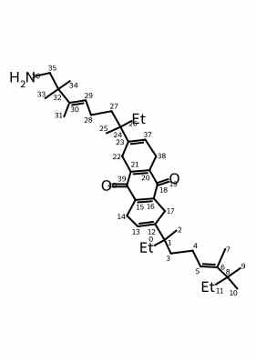 CCC(C)(CC/C=C(\C)C(C)(C)CC)C1=CCC2=C(C1)C(=O)C1=C(CC(C(C)(CC)CC/C=C(\C)C(C)(C)CN)=CC1)C2=O